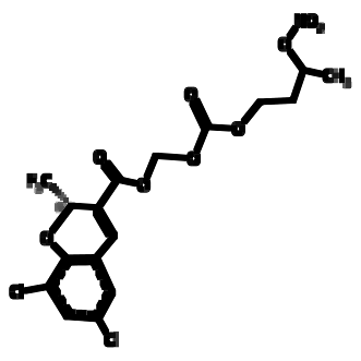 CC(CCOC(=O)OCOC(=O)C1=Cc2cc(Cl)cc(Cl)c2O[C@@H]1C(F)(F)F)O[N+](=O)[O-]